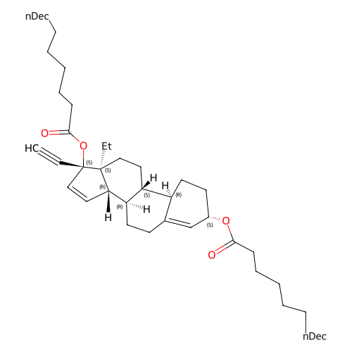 C#C[C@]1(OC(=O)CCCCCCCCCCCCCCC)C=C[C@H]2[C@@H]3CCC4=C[C@@H](OC(=O)CCCCCCCCCCCCCCC)CC[C@@H]4[C@H]3CC[C@@]21CC